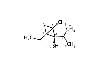 CC[C@@]12CC1(C)[C@]2(S)C(C)C